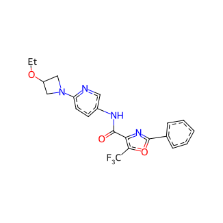 CCOC1CN(c2ccc(NC(=O)c3nc(-c4ccccc4)oc3C(F)(F)F)cn2)C1